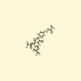 C=C(C)C(=O)OCCc1ccc(-c2coc3c(OC(=O)C(=C)C)cc(OC(=O)C(=C)C)cc3c2=O)cc1